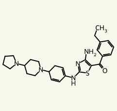 CCc1cccc(C(=O)c2sc(NC3=CCC(N4CCC(N5CCCC5)CC4)C=C3)nc2N)c1